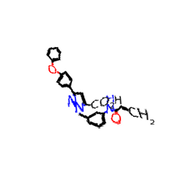 C=CC(=O)Nc1cccc(Cn2nc(-c3ccc(Oc4ccccc4)cc3)cc2C(=O)O)c1